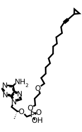 C[C@H](Cn1cnc2c(N)ncnc21)OCP(=O)(O)OCCCOCCCCCCCCCCCCC#CC1CC1